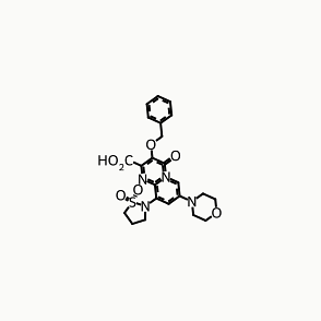 O=C(O)c1nc2c(N3CCCS3(=O)=O)cc(N3CCOCC3)cn2c(=O)c1OCc1ccccc1